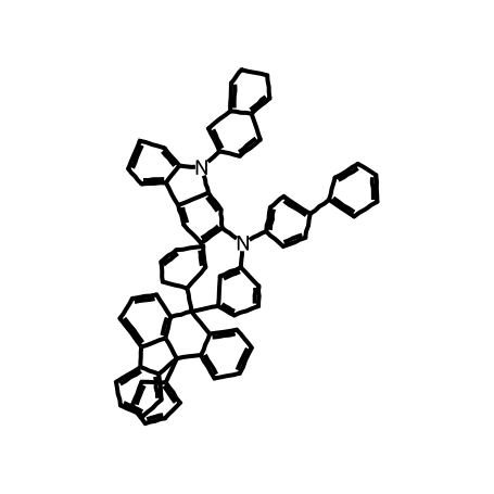 C1=CCC(C2(c3cccc(N(c4ccc(-c5ccccc5)cc4)c4ccc5c6ccccc6n(-c6ccc7c(c6)=CCCC=7)c5c4)c3)c3ccccc3C3(c4ccccc4)c4ccccc4-c4cccc2c43)C=C1